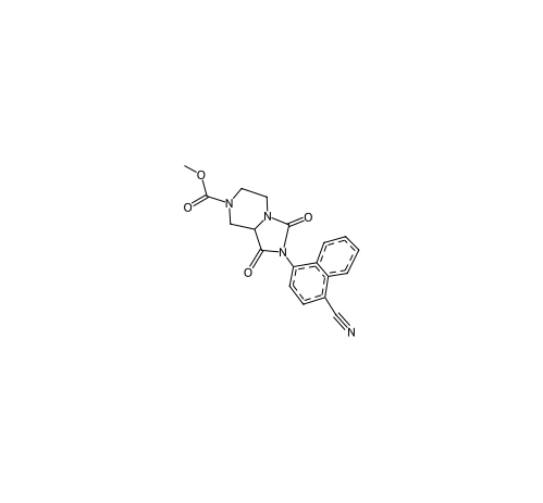 COC(=O)N1CCN2C(=O)N(c3ccc(C#N)c4ccccc34)C(=O)C2C1